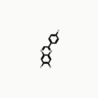 Fc1ccc(-c2cnc3cc(F)c(F)cc3n2)cc1